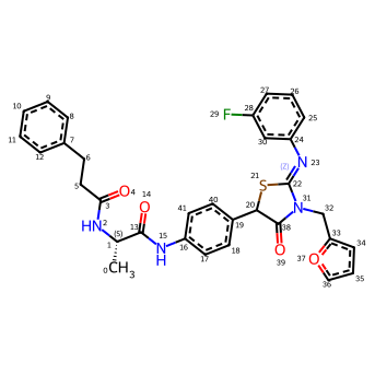 C[C@H](NC(=O)CCc1ccccc1)C(=O)Nc1ccc(C2S/C(=N\c3cccc(F)c3)N(Cc3ccco3)C2=O)cc1